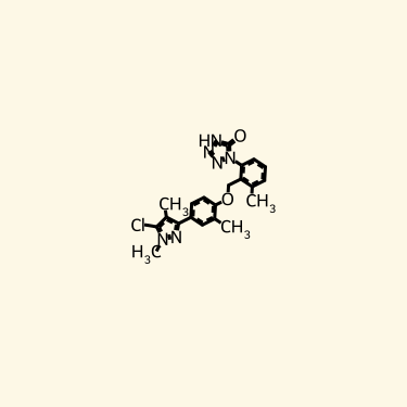 Cc1cc(-c2nn(C)c(Cl)c2C)ccc1OCc1c(C)cccc1-n1nn[nH]c1=O